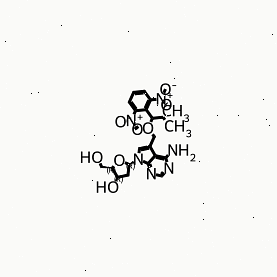 CC(C)C(OCc1cn([C@H]2C[C@@H](O)[C@@H](CO)O2)c2ncnc(N)c12)c1c([N+](=O)[O-])cccc1[N+](=O)[O-]